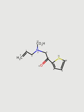 C=CCN(CC(=O)c1cccs1)C(=O)O